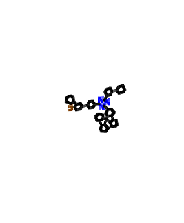 c1ccc(-c2cccc(-c3nc(-c4ccc(-c5ccc6sc7ccccc7c6c5)cc4)nc(-c4ccc5c(c4)C4(c6ccccc6-c6ccccc64)c4ccccc4-5)n3)c2)cc1